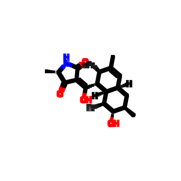 CCC[C@H]1C(C)=C[C@H]2C[C@@H](C)[C@H](O)[C@@H](CC)[C@H]2[C@@H]1/C(O)=C1\C(=O)N[C@@H](C)C1=O